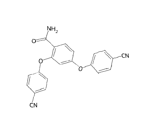 N#Cc1ccc(Oc2ccc(C(N)=O)c(Oc3ccc(C#N)cc3)c2)cc1